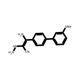 CSc1cccc(-c2ccc(/C(N)=C(\C#N)NN)cc2)c1